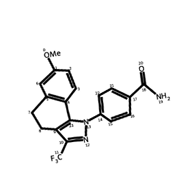 COc1ccc2c(c1)CCc1c(C(F)(F)F)nn(-c3ccc(C(N)=O)cc3)c1-2